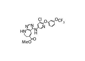 COC(=O)C1=Cc2c(ncnc2Nc2cnc(Oc3cccc(OC(F)(F)F)c3)c(Cl)c2)NCC1